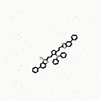 CCN1/C(=C/C=C2CCC(C=Cc3nc4cc(-c5ccccc5)ccc4o3)=C2N(c2ccccc2)c2ccccc2)Oc2ccc(-c3ccccc3)cc21